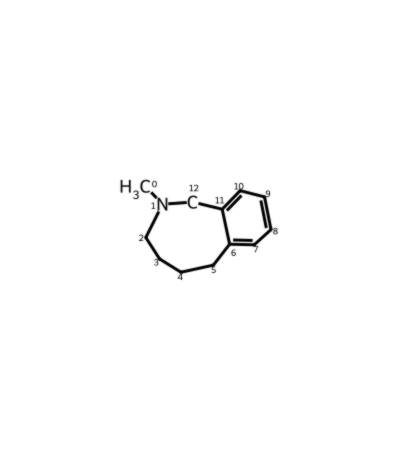 CN1CCCCc2ccccc2C1